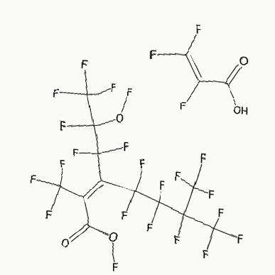 O=C(O)C(F)=C(F)F.O=C(OF)C(=C(C(F)(F)C(F)(F)C(F)(C(F)(F)F)C(F)(F)F)C(F)(F)C(F)(OF)C(F)(F)F)C(F)(F)F